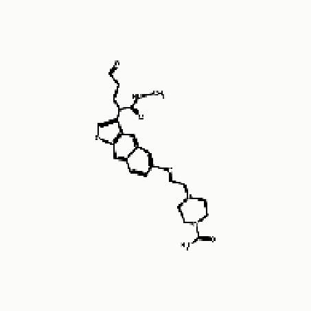 CNC(=O)C(CCC=O)c1coc2cc3ccc(OCCN4CCN(C(C)=O)CC4)cc3cc12